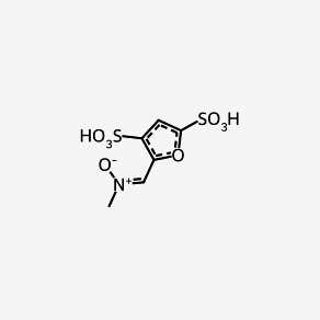 C[N+]([O-])=Cc1oc(S(=O)(=O)O)cc1S(=O)(=O)O